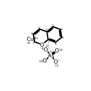 C1=Cc2ccccc2OC1.O=[As]([O-])([O-])[O-].[Cu+3]